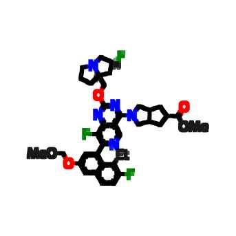 CCc1c(F)ccc2cc(OCOC)cc(-c3ncc4c(N5CC6CC(C(=O)OC)CC6C5)nc(OC[C@@]56CCCN5C[C@H](F)C6)nc4c3F)c12